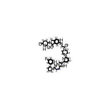 N=C(/C=C\c1ncc(-c2cccc(N3CCN(C(=O)CNc4ccc5c(c4)C(=O)N(C4CCC(=O)NC4=O)C5)CC3)n2)[nH]1)N1CCC[C@@H]1c1cccc(F)c1